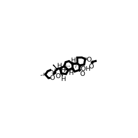 CC(=O)O[C@H]1CC[C@]2(C)[C@H]3CC[C@]4(C)[C@@H]5[C@H](C[C@H]4[C@@H]3CC(=O)[C@@]2(O)C1)O[C@]1(CC[C@@H](C)CO1)[C@H]5C